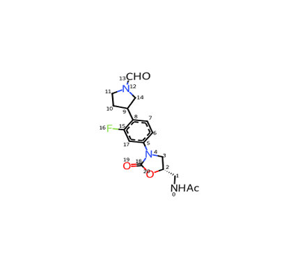 CC(=O)NC[C@H]1CN(c2ccc(C3CCN(C=O)C3)c(F)c2)C(=O)O1